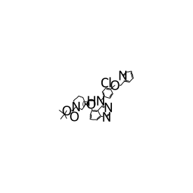 CC(C)(C)OC(=O)N1CCC[C@@H](Oc2cccc3ncnc(Nc4ccc(OCc5ccccn5)c(Cl)c4)c23)C1